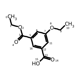 CCOC(=O)c1cc(OCC)cc(C(=O)O)c1